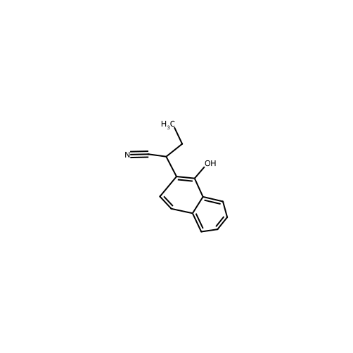 CCC(C#N)c1ccc2ccccc2c1O